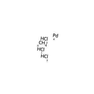 C.Cl.Cl.Cl.[Pd]